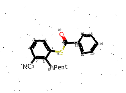 CCCCCc1c(C#N)cccc1SC(=O)c1ccccc1